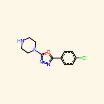 Clc1ccc(-c2nnc(N3CCNCC3)o2)cc1